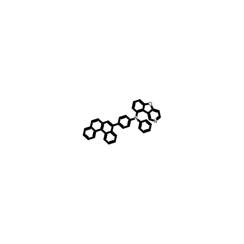 c1ccc(N(c2ccc(-c3cc4ccc5ccccc5c4c4ccccc34)cc2)c2cccc3oc4ccncc4c23)cc1